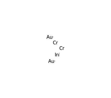 [Au].[Au].[Cr].[Cr].[In]